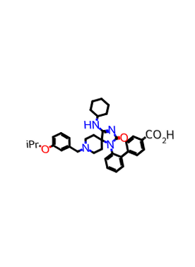 CC(C)Oc1cccc(CN2CCC3(CC2)C(NC2CCCCC2)=NC(=O)N3c2ccccc2-c2ccc(C(=O)O)cc2)c1